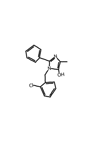 Cc1nc(-c2ccccc2)n(Cc2ccccc2Cl)c1O